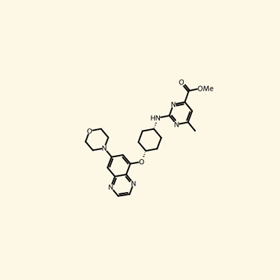 COC(=O)c1cc(C)nc(N[C@H]2CC[C@@H](Oc3cc(N4CCOCC4)cc4nccnc34)CC2)n1